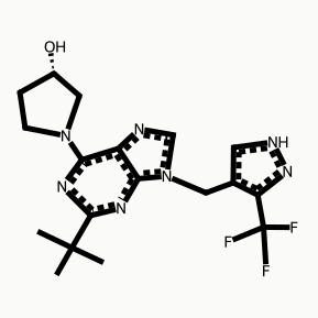 CC(C)(C)c1nc(N2CC[C@H](O)C2)c2ncn(Cc3c[nH]nc3C(F)(F)F)c2n1